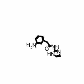 Nc1cccc(CC(=O)Nc2ncc[nH]2)c1